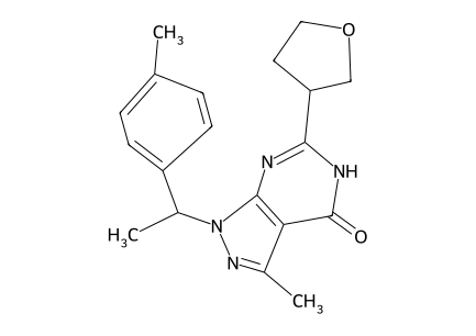 Cc1ccc(C(C)n2nc(C)c3c(=O)[nH]c(C4CCOC4)nc32)cc1